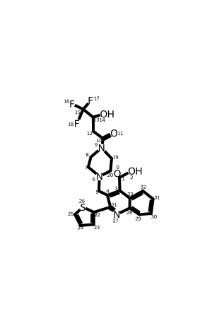 O=C(O)c1c(CN2CCN(C(=O)CC(O)C(F)(F)F)CC2)c(-c2cccs2)nc2ccccc12